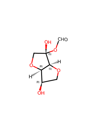 O=CO[C@@]1(O)CO[C@@H]2[C@H](O)CO[C@@H]21